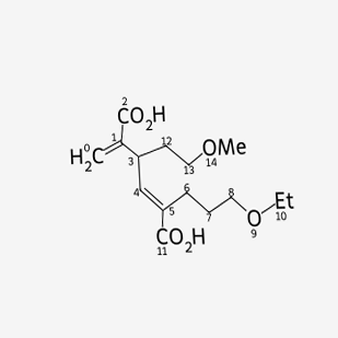 C=C(C(=O)O)C(C=C(CCCOCC)C(=O)O)CCOC